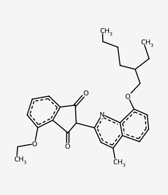 CCCCC(CC)COc1cccc2c(C)cc(C3C(=O)c4cccc(OCC)c4C3=O)nc12